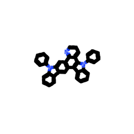 c1ccc(-n2c3ccccc3c3cc4c(cc32)c2ncccc2c2c4c3ccccc3n2-c2ccccc2)cc1